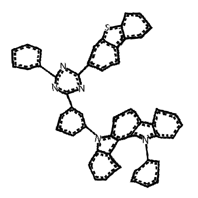 c1ccc(-c2nc(-c3cccc(-n4c5ccccc5c5c4ccc4c6ccccc6n(-c6ccccc6)c45)c3)nc(-c3ccc4c(c3)sc3ccccc34)n2)cc1